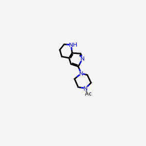 CC(=O)N1CCN(c2cc3c(cn2)NCCC3)CC1